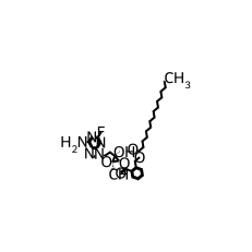 C#C[C@]12O[C@@H](n3cnc4c(N)nc(F)nc43)C[C@@]1(O)C2OC(=O)c1ccccc1COC(=O)CCCCCCCCCCCCCCC